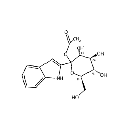 CC(=O)OC1(c2cc3ccccc3[nH]2)O[C@H](CO)[C@@H](O)[C@H](O)[C@H]1O